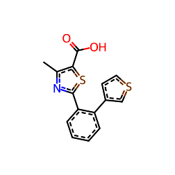 Cc1nc(-c2ccccc2-c2ccsc2)sc1C(=O)O